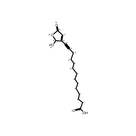 O=C(O)CCCCCCCCCCCC#CC1=CC(=O)OC1O